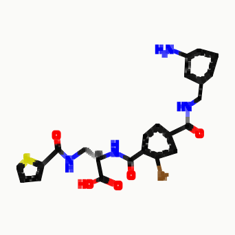 Nc1cccc(CNC(=O)c2ccc(C(=O)N[C@@H](CNC(=O)c3cccs3)C(=O)O)c(Br)c2)c1